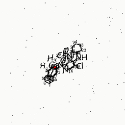 CC(=O)N1CC2CCC(C1)c1cc(Nc3ncc(Cl)c(N[C@@H]4CCCC[C@H]4NS(C)(=O)=O)n3)ccc12